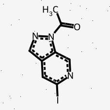 CC(=O)n1ncc2cc(I)ncc21